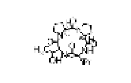 CC(O)C1C(=O)N2CCC[C@H]2C(=O)N2CCC[C@H]2C(=O)NC2(C(C)C)CN1C2=O